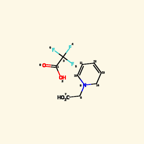 O=C(O)C(F)(F)F.O=C(O)CN1C=CC=CC1